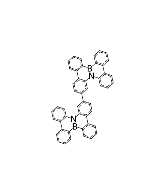 c1ccc2c(c1)B1c3ccccc3-c3ccc(-c4ccc5c(c4)N4B(c6ccccc6-c6ccccc64)c4ccccc4-5)cc3N1c1ccccc1-2